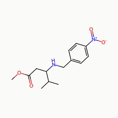 COC(=O)CC(NCc1ccc([N+](=O)[O-])cc1)C(C)C